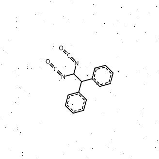 O=C=NC(N=C=O)C(c1ccccc1)c1ccccc1